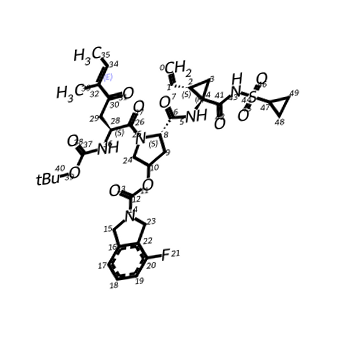 C=C[C@@H]1C[C@]1(NC(=O)[C@@H]1CC(OC(=O)N2Cc3cccc(F)c3C2)CN1C(=O)[C@H](CC(=O)/C(C)=C/C)NC(=O)OC(C)(C)C)C(=O)NS(=O)(=O)C1CC1